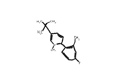 Cc1cc(F)ccc1-c1ccc(C(C)(C)C)c[n+]1C